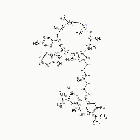 C/C1=C\CC[C@H](C)OC(=O)C[C@H](c2ccc(O)cc2)NC(=O)[C@@H](Cc2cc3ccccc3[nH]2)N(C)C(=O)[C@H](CCCCNC(=O)CCC=C2c3cc(F)c(N(C)C)cc3[Si](C(C)C)(C(C)C)c3cc(N(C)C)c(F)cc32)NC(=O)[C@@H](C)C1